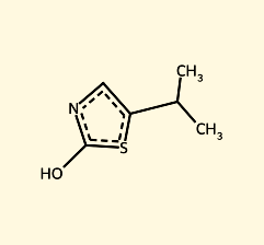 CC(C)c1cnc(O)s1